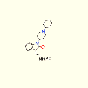 CC(=O)NCCC1C(=O)N(C2CCN(C3CCCCC3)CC2)c2ccccc21